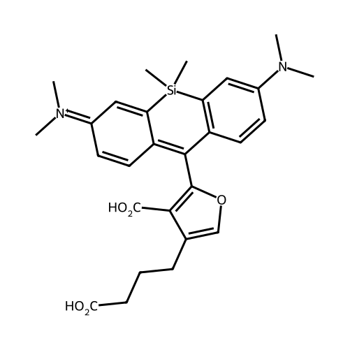 CN(C)c1ccc2c(c1)[Si](C)(C)C1=CC(=[N+](C)C)C=CC1=C2c1occ(CCCC(=O)O)c1C(=O)O